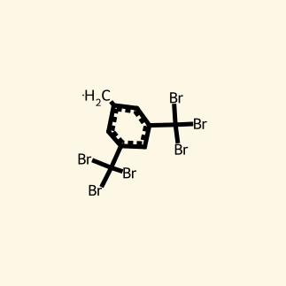 [CH2]c1cc(C(Br)(Br)Br)cc(C(Br)(Br)Br)c1